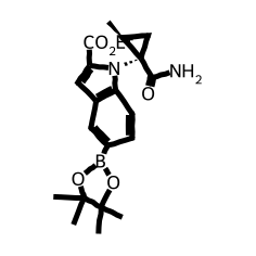 CCOC(=O)c1cc2cc(B3OC(C)(C)C(C)(C)O3)ccc2n1[C@@]1(C(N)=O)C[C@@H]1C